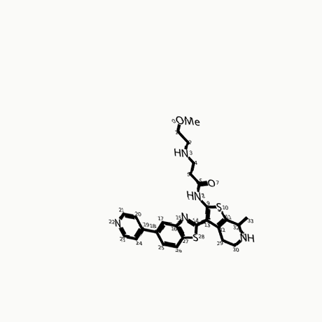 COCCNCCC(=O)Nc1sc2c(c1-c1nc3cc(-c4ccncc4)ccc3s1)CCNC2C